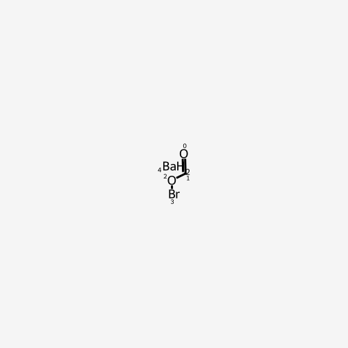 O=COBr.[BaH2]